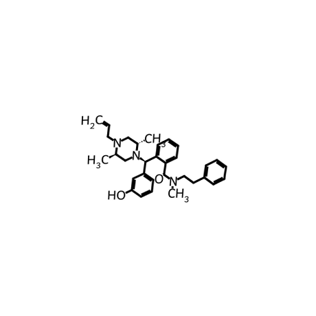 C=CCN1C[C@H](C)N([C@H](c2cccc(O)c2)c2ccccc2C(=O)N(C)CCc2ccccc2)C[C@H]1C